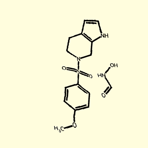 COc1ccc(S(=O)(=O)N2CCc3cc[nH]c3C2)cc1.O=CNO